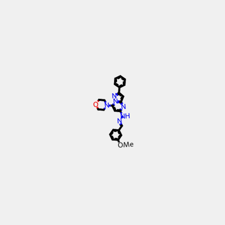 COc1cccc(C=NNc2cc(N3CCOCC3)n3nc(-c4ccccc4)cc3n2)c1